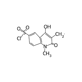 [CH2]c1c(O)c2cc(S(=O)(=O)Cl)ccc2n(C)c1=O